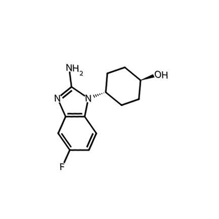 Nc1nc2cc(F)ccc2n1[C@H]1CC[C@H](O)CC1